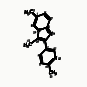 Cc1ccc2nc(-c3ccc(C)nc3)c(C)n2c1